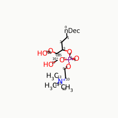 CCCCCCCCCCCCC(OP(=O)([O-])OCC[N+](C)(C)C)[C@H](CO)OO